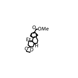 CC[C@@]12CCC3(C[C@@H]1CCc1cc(C(=O)OC)ccc12)OCCO3